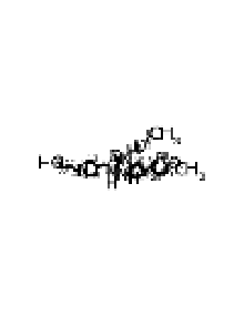 CCCOCCn1c(=O)c(NCC2CCN(CCCO)CC2)nc2ncc(-c3ccc(OC)nc3)cc21